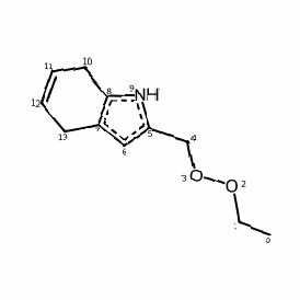 CCOOCc1cc2c([nH]1)CC=CC2